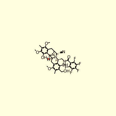 COc1c(C)c(OC)c2c(c1O)[C@H]1[C@@H]3Cc4c(OC)c(C)c(CO)c(O)c4[C@H](CNC(=O)c4c(F)c(F)c(F)c(F)c4F)N3[C@@H](C#N)C(C2)N1C